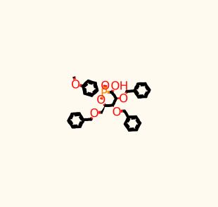 COc1ccc([P@]2(=O)O[C@H](COCc3ccccc3)[C@@H](OCc3ccccc3)[C@H](OCc3ccccc3)C2O)cc1